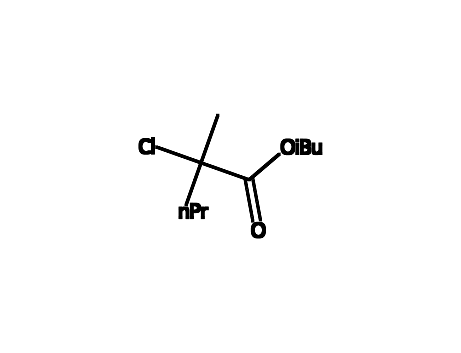 CCCC(C)(Cl)C(=O)OCC(C)C